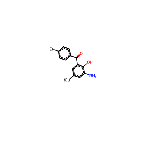 CCc1ccc(C(=O)c2cc(C(C)(C)C)cc(N)c2O)cc1